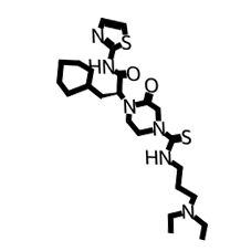 CCN(CC)CCCNC(=S)N1CCN([C@@H](CC2CCCCC2)C(=O)Nc2nccs2)C(=O)C1